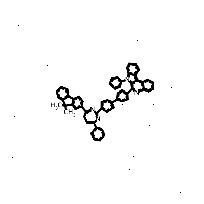 CC1(C)c2ccccc2-c2ccc(C3=NC(c4ccc(-c5ccc(-c6nc7ccccc7c7c8ccccc8n(-c8ccccc8)c67)cc5)cc4)=NC(c4ccccc4)=CC3)cc21